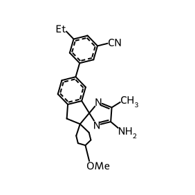 CCc1cc(C#N)cc(-c2ccc3c(c2)C2(N=C(C)C(N)=N2)C2(CCC(OC)CC2)C3)c1